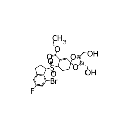 CCOC(=O)C1=CC2(CCC1S(=O)(=O)C1CCc3cc(F)cc(Br)c31)O[C@@H](CO)[C@H](CO)O2